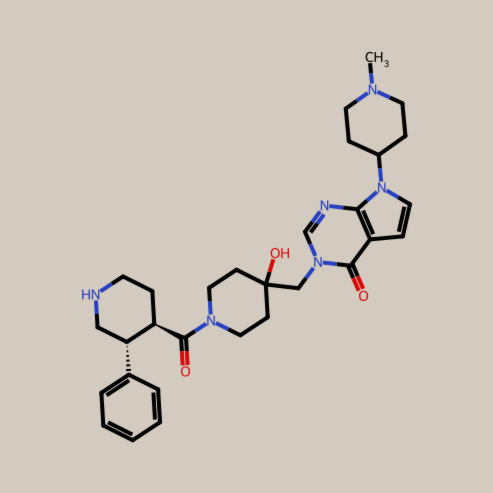 CN1CCC(n2ccc3c(=O)n(CC4(O)CCN(C(=O)[C@@H]5CCNC[C@H]5c5ccccc5)CC4)cnc32)CC1